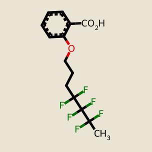 CC(F)(F)C(F)(F)C(F)(F)CCCOc1ccccc1C(=O)O